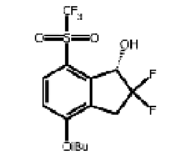 CC(C)COc1ccc(S(=O)(=O)C(F)(F)F)c2c1CC(F)(F)[C@H]2O